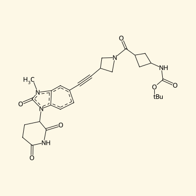 Cn1c(=O)n(C2CCC(=O)NC2=O)c2ccc(C#CC3CN(C(=O)C4CC(NC(=O)OC(C)(C)C)C4)C3)cc21